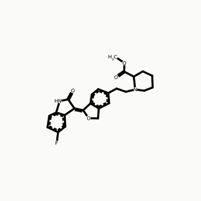 COC(=O)C1CCCCN1CCc1ccc2c(c1)COC2=C1C(=O)Nc2ccc(F)cc21